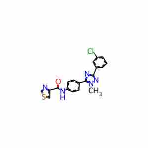 Cn1nc(-c2cccc(Cl)c2)nc1-c1ccc(NC(=O)c2cscn2)cc1